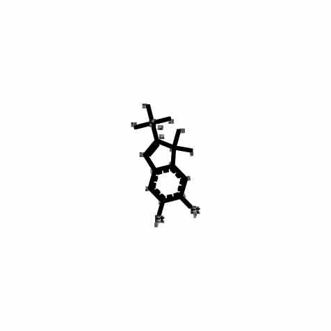 CCc1cc2c(cc1CC)C(C)(C)C([Si](C)(C)C)=C2